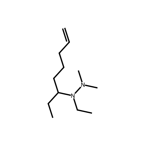 C=CCCCC(CC)N(CC)N(C)C